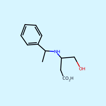 CC(NC(CO)CC(=O)O)c1ccccc1